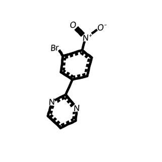 O=[N+]([O-])c1ccc(-c2ncccn2)cc1Br